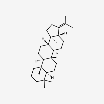 CC(C)=C1CC[C@]2(C)[C@H]3CC[C@@H]4[C@@]5(C)CCCC(C)(C)[C@@H]5CC[C@@]4(C)[C@]3(C)CC[C@@H]12